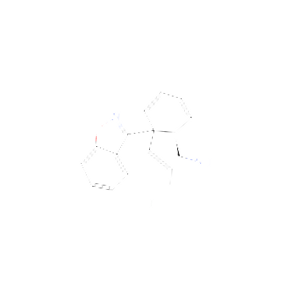 CC=CC1(c2noc3ccccc23)C=CC=C[C@H]1CN.Cl